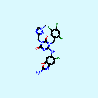 Cn1cnc(Cn2c(=O)nc(Nc3cc4oc(N)nc4cc3Cl)n(Cc3cc(F)c(F)cc3F)c2=O)n1